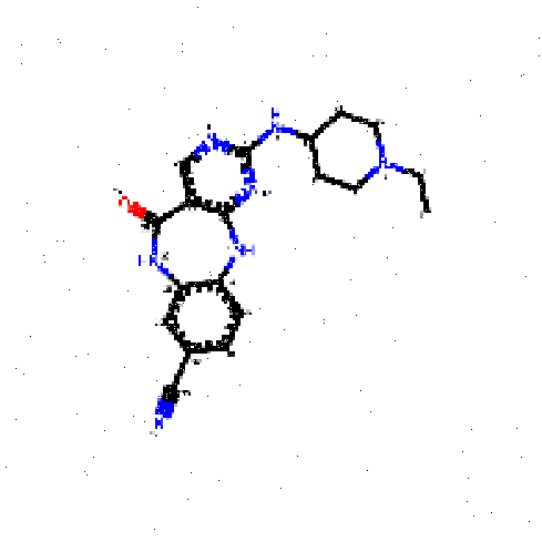 CCN1CCC(Nc2ncc3c(n2)Nc2ccc(C#N)cc2NC3=O)CC1